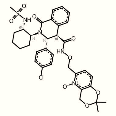 CC1(C)OCc2c(ccc(CONC(=O)[C@@H]3c4ccccc4C(=O)N([C@H]4CCCC[C@@H]4NS(C)(=O)=O)[C@H]3c3ccc(Cl)cc3)[n+]2[O-])O1